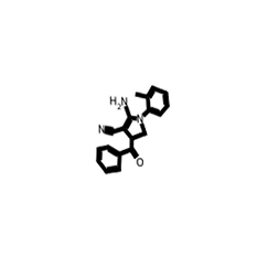 Cc1ccccc1N1CC(C(=O)c2ccccc2)C(C#N)=C1N